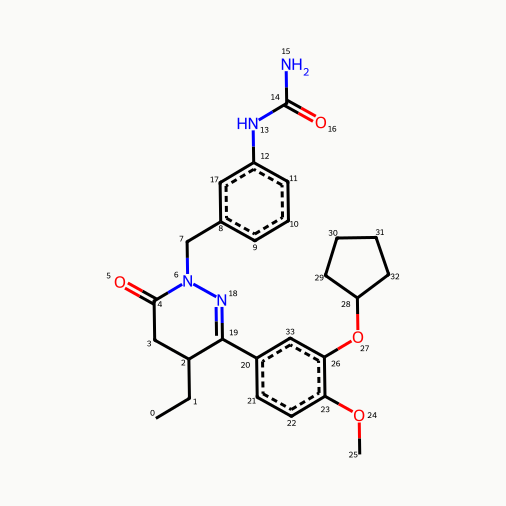 CCC1CC(=O)N(Cc2cccc(NC(N)=O)c2)N=C1c1ccc(OC)c(OC2CCCC2)c1